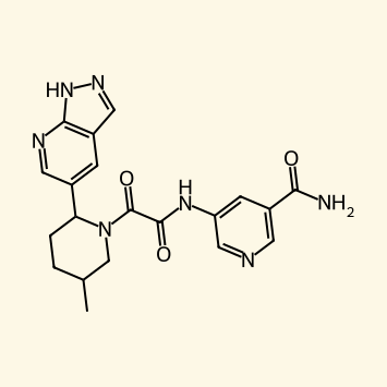 CC1CCC(c2cnc3[nH]ncc3c2)N(C(=O)C(=O)Nc2cncc(C(N)=O)c2)C1